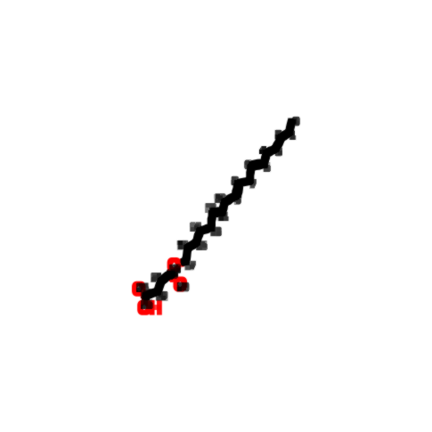 CCCCCC=CCC=CCC=CCCCCCOC(=O)CCC(=O)O